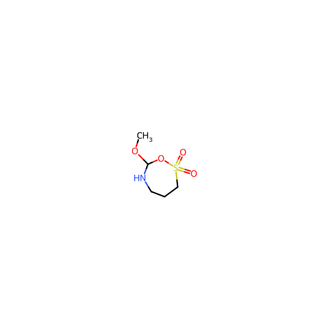 COC1NCCCS(=O)(=O)O1